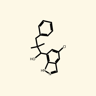 CC(C)(Cc1ccccc1)C(O)c1cc(Cl)cc2cn[nH]c12